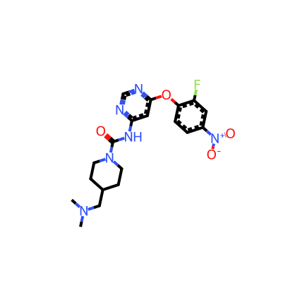 CN(C)CC1CCN(C(=O)Nc2cc(Oc3ccc([N+](=O)[O-])cc3F)ncn2)CC1